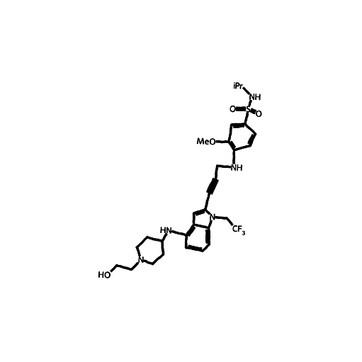 COc1cc(S(=O)(=O)NC(C)C)ccc1NCC#Cc1cc2c(NC3CCN(CCO)CC3)cccc2n1CC(F)(F)F